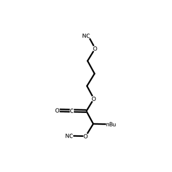 CCCCC(OC#N)C(=C=O)OCCCOC#N